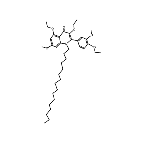 CCCCCCCCCCCCCCCCn1c(-c2ccc(OCC)c(OC)c2)c(OCC)c(=O)c2c(OCC)cc(OC)cc21